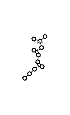 c1ccc(-c2ccc(-c3ccc(-n4c5ccccc5c5cc(-c6ccc7c(c6)c6ccccc6n7-c6cccc(-c7nc(-c8ccccc8)cc(-c8ccccc8)n7)c6)ccc54)cc3)cc2)cc1